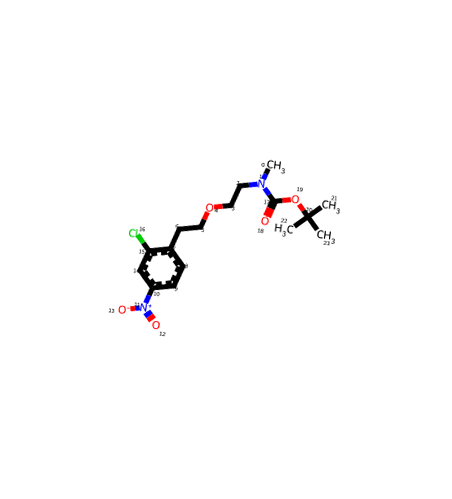 CN(CCOCCc1ccc([N+](=O)[O-])cc1Cl)C(=O)OC(C)(C)C